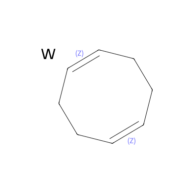 C1=C\CC/C=C\CC/1.[W]